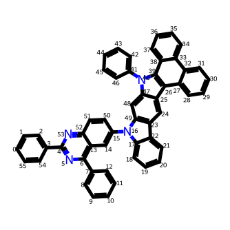 c1ccc(-c2nc(-c3ccccc3)c3cc(-n4c5ccccc5c5cc6c7c8ccccc8c8ccccc8c7n(-c7ccccc7)c6cc54)ccc3n2)cc1